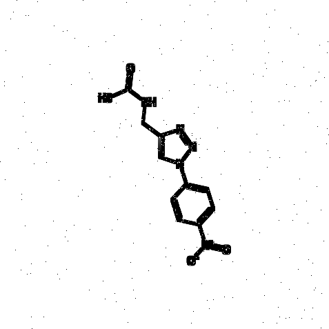 O=C(S)NCc1cn(-c2ccc([N+](=O)[O-])cc2)nn1